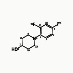 OC1CCN(c2ccc(F)cc2F)CC1